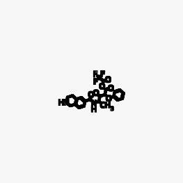 CC(NC(=O)c1ccc2c(c1)CCNC2)C(=O)C(Oc1ccccc1)C(=O)OC(=O)C(F)(F)F